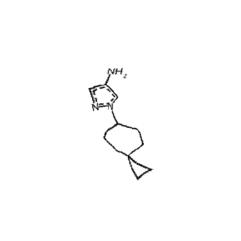 Nc1cnn(C2CCC3(CC2)CC3)c1